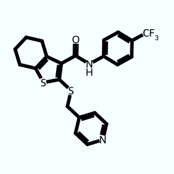 O=C(Nc1ccc(C(F)(F)F)cc1)c1c(SCc2ccncc2)sc2c1CCCC2